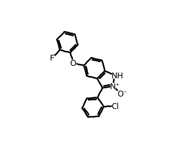 [O-][n+]1[nH]c2ccc(Oc3ccccc3F)cc2c1-c1ccccc1Cl